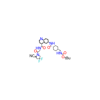 CC(C)(C)OC(=O)NC[C@H]1CC[C@H](C(=O)Nc2ccc3nccc(C(=O)NCC(=O)N4CC(F)(F)C[C@H]4C#N)c3c2)CC1